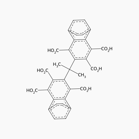 CC(C)(c1c(C(=O)O)c(C(=O)O)c2c3ccc(cc3)c2c1C(=O)O)c1c(C(=O)O)c(C(=O)O)c2c3ccc(cc3)c2c1C(=O)O